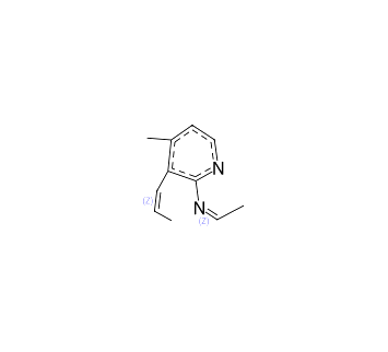 C/C=C\c1c(C)ccnc1/N=C\C